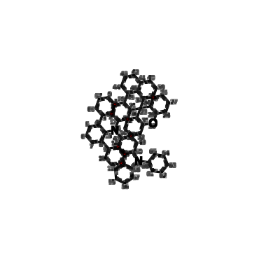 c1ccc(-c2cccc(-c3ccccc3)c2N(c2ccc3c(c2)C2(c4ccccc4Oc4ccccc42)c2cccc4cccc-3c24)c2ccc3c(c2)c2ccccc2n3-c2ccccc2)cc1